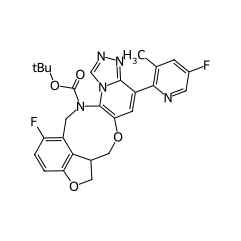 Cc1cc(F)cnc1-c1cc2c(n3cnnc13)N(C(=O)OC(C)(C)C)Cc1c(F)ccc3c1C(CO3)CO2